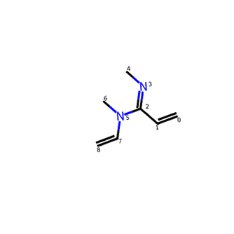 C=CC(=NC)N(C)C=C